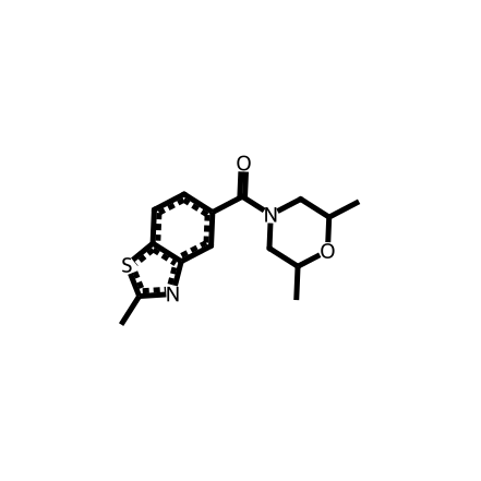 Cc1nc2cc(C(=O)N3CC(C)OC(C)C3)ccc2s1